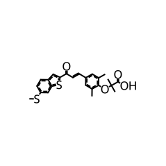 CSc1ccc2cc(C(=O)/C=C/c3cc(C)c(OC(C)(C)C(=O)O)c(C)c3)sc2c1